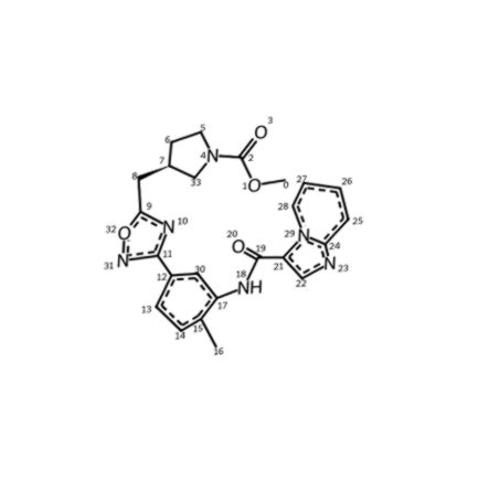 COC(=O)N1CC[C@H](Cc2nc(-c3ccc(C)c(NC(=O)c4cnc5ccccn45)c3)no2)C1